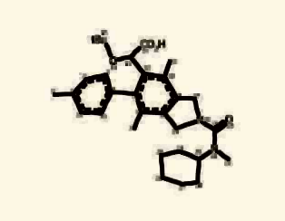 Cc1ccc(-c2c(C)c3c(c(C)c2C(OC(C)(C)C)C(=O)O)CN(C(=O)N(C)C2CCCCC2)C3)cc1